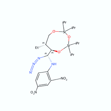 CC[C@@H]1CO[Si](C(C)C)(C(C)C)O[Si](C(C)C)(C(C)C)O[C@H]1[C@@H](N=[N+]=[N-])Nc1ccc([N+](=O)[O-])cc1[N+](=O)[O-]